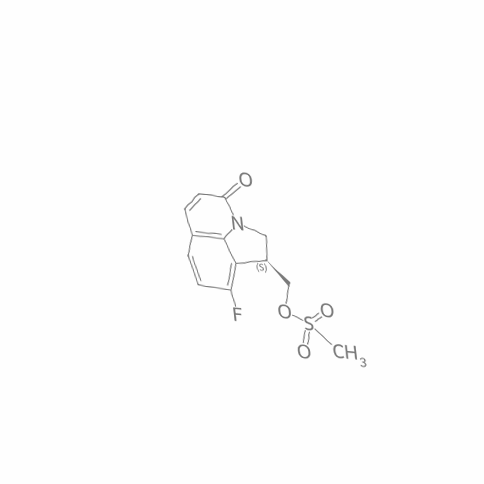 CS(=O)(=O)OC[C@@H]1Cn2c(=O)ccc3ccc(F)c1c32